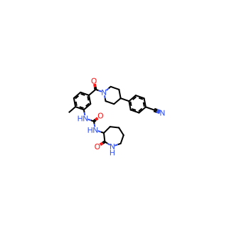 Cc1ccc(C(=O)N2CCC(c3ccc(C#N)cc3)CC2)cc1NC(=O)NC1CCCCNC1=O